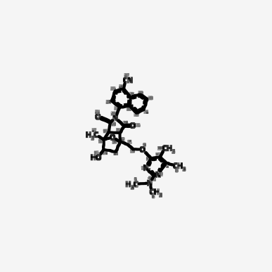 Cc1nc(N(C)C)nc(OCCC23CC(O)C(C)(O2)C2C(=O)N(c4ccc(C#N)c5ccccc45)C(=O)C23)c1C